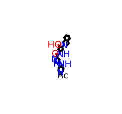 CC(=O)N1CCC(Nc2cc(C(=O)NC3CC(O)C(N4CCc5ccccc5C4)C3)ncn2)CC1